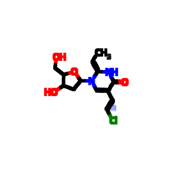 CC=C1NC(=O)C(/C=C/Cl)=CN1C1CC(O)C(CO)O1